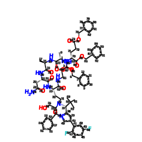 C[C@H](NC(=O)OCc1ccccc1)C(=O)N[C@H](C)C(=O)N[C@@H](CC(N)=O)C(=O)N[C@@H](CCN(C(=O)CO)[C@@H](c1cc(-c2cc(F)ccc2F)cn1Cc1ccccc1)C(C)(C)C)C(=O)NCCC(=O)N[C@H](CCC(=O)OCc1ccccc1)C(=O)OCc1ccccc1